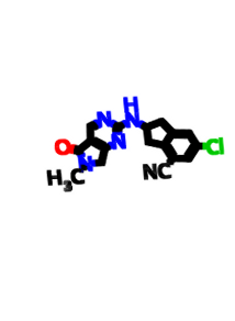 CN1Cc2nc(NC3Cc4cc(Cl)cc(C#N)c4C3)ncc2C1=O